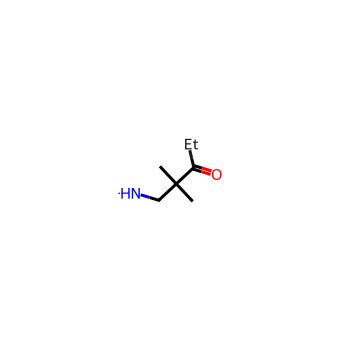 CCC(=O)C(C)(C)C[NH]